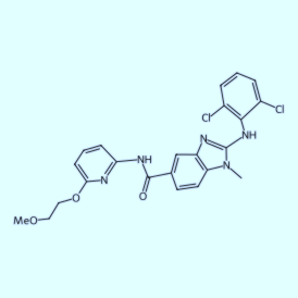 COCCOc1cccc(NC(=O)c2ccc3c(c2)nc(Nc2c(Cl)cccc2Cl)n3C)n1